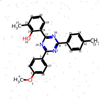 COc1ccc(-c2nc(-c3ccc(C)cc3)nc(-c3cccc(C)c3O)n2)cc1